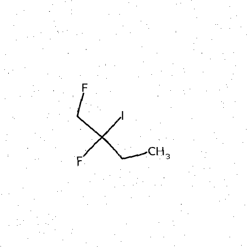 CCC(F)(I)CF